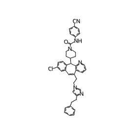 N#Cc1ccc(NC(=O)N2CCC(C3c4ccc(Cl)cc4C=C(CCn4cnc(CCc5ccccc5)c4)c4cccnc43)CC2)cc1